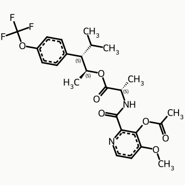 COc1ccnc(C(=O)N[C@@H](C)C(=O)O[C@@H](C)[C@H](c2ccc(OC(F)(F)F)cc2)C(C)C)c1OC(C)=O